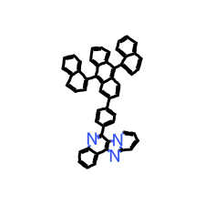 c1ccc2c(-c3c4ccccc4c(-c4cccc5ccccc45)c4cc(-c5ccc(-c6nc7ccccc7c7nc8ccccn8c67)cc5)ccc34)cccc2c1